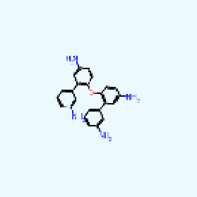 Nc1cccc(-c2cc(N)ccc2Oc2ccc(N)cc2-c2cccc(N)c2)c1